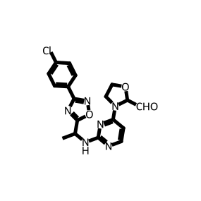 CC(Nc1nccc(N2CCOC2C=O)n1)c1nc(-c2ccc(Cl)cc2)no1